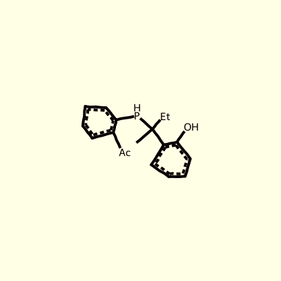 CCC(C)(Pc1ccccc1C(C)=O)c1ccccc1O